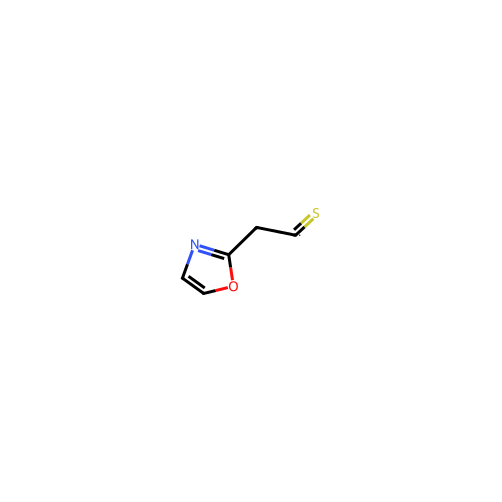 S=[C]Cc1ncco1